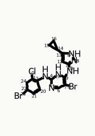 ClC1=C(NC2N=CC(Br)=C(Nc3cc(C4CC4)[nH]n3)N2)C=CC(Br)C1